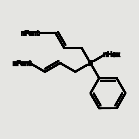 CCCCCC=CC[Si](CC=CCCCCC)(CCCCCC)c1ccccc1